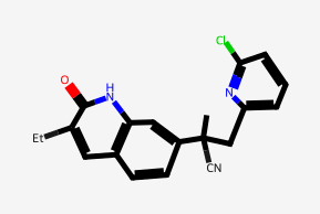 CCc1cc2ccc(C(C)(C#N)Cc3cccc(Cl)n3)cc2[nH]c1=O